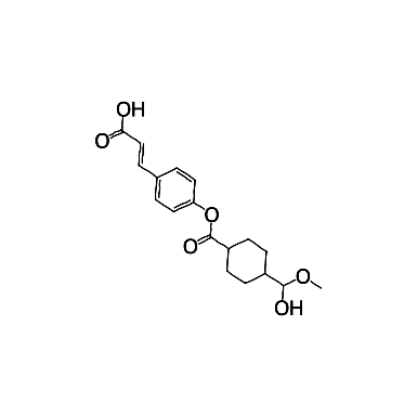 COC(O)C1CCC(C(=O)Oc2ccc(/C=C/C(=O)O)cc2)CC1